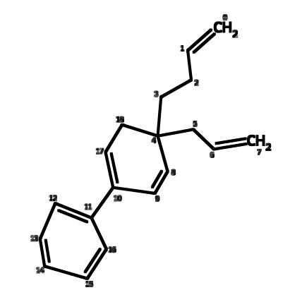 C=CCCC1(CC=C)C=CC(c2ccccc2)=CC1